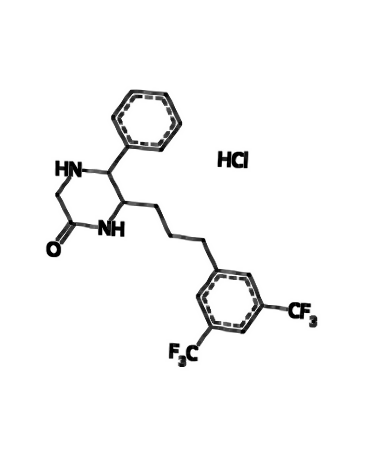 Cl.O=C1CNC(c2ccccc2)C(CCCc2cc(C(F)(F)F)cc(C(F)(F)F)c2)N1